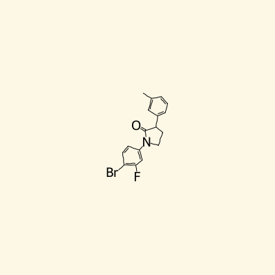 Cc1cccc(C2CCN(c3ccc(Br)c(F)c3)C2=O)c1